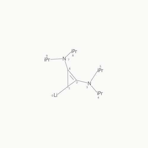 [Li][C]1C(N(C(C)C)C(C)C)=C1N(C(C)C)C(C)C